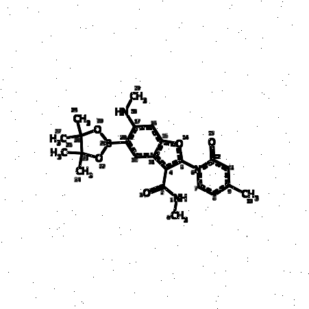 CNC(=O)c1c(-n2ccc(C)cc2=O)oc2cc(NC)c(B3OC(C)(C)C(C)(C)O3)cc12